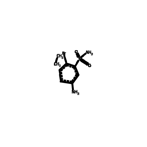 CC.Nc1ccc(Br)c(S(N)(=O)=O)c1